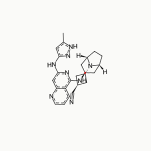 Cc1cc(Nc2cc3ncccc3c(N[C@@H]3C[C@H]4CC[C@@H](C3)N4[C@H]3C[C@H](C#N)C3)n2)n[nH]1